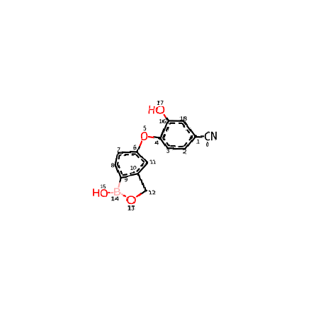 N#Cc1ccc(Oc2ccc3c(c2)COB3O)c(O)c1